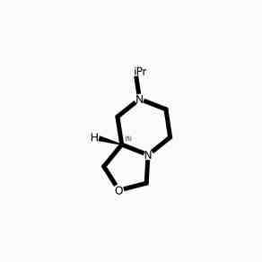 CC(C)N1CCN2COC[C@@H]2C1